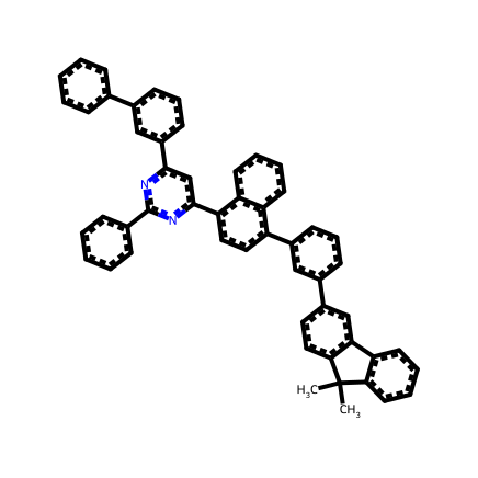 CC1(C)c2ccccc2-c2cc(-c3cccc(-c4ccc(-c5cc(-c6cccc(-c7ccccc7)c6)nc(-c6ccccc6)n5)c5ccccc45)c3)ccc21